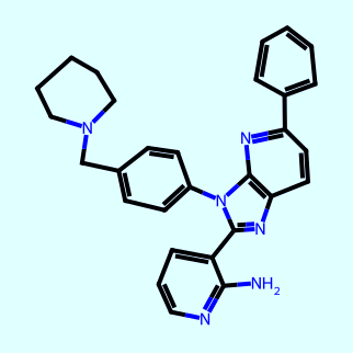 Nc1ncccc1-c1nc2ccc(-c3ccccc3)nc2n1-c1ccc(CN2CCCCC2)cc1